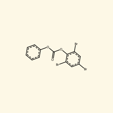 O=C(Oc1ccccc1)Oc1c(Br)cc(Br)cc1Br